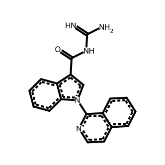 N=C(N)NC(=O)c1cn(-c2nccc3ccccc23)c2ccccc12